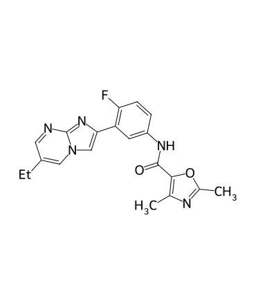 CCc1cnc2nc(-c3cc(NC(=O)c4oc(C)nc4C)ccc3F)cn2c1